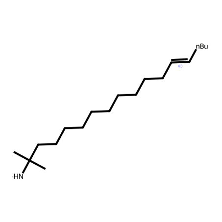 CCCC/C=C/CCCCCCCCCCC(C)(C)[NH]